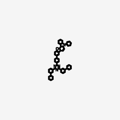 C1=CC2c3cc(-c4ccc(-c5nc(-c6cccc(-c7ccccc7)c6)nc(-c6cccc(-c7ccccc7)c6)n5)cc4)ccc3OC2c2c1n(-c1ccccc1)c1ccccc21